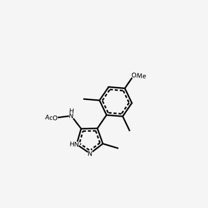 COc1cc(C)c(-c2c(C)n[nH]c2NOC(C)=O)c(C)c1